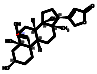 C[C@]12CC[C@H]3[C@@H](CC[C@]4(O)C[C@@H](O)CC[C@]34/C=N/O)[C@@]1(O)CC[C@@H]2C1=CC(=O)OC1